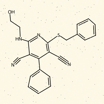 N#Cc1c(NCCO)nc(SCc2ccccc2)c(C#N)c1-c1ccccc1